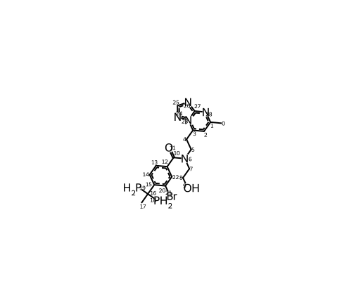 Cc1cc(CCN(CCO)C(=O)c2ccc(C(C)(P)P)c(Br)c2)n2ncnc2n1